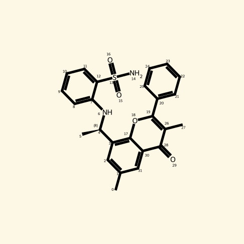 Cc1cc([C@@H](C)Nc2ccccc2S(N)(=O)=O)c2oc(-c3ccccc3)c(C)c(=O)c2c1